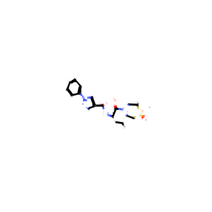 CCC[C@H](NC(=O)c1cnn(-c2ccccc2)c1)C(=O)N1CCS(=O)(=O)CC1